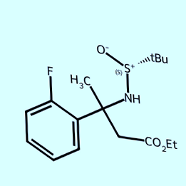 CCOC(=O)CC(C)(N[S@+]([O-])C(C)(C)C)c1ccccc1F